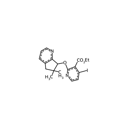 CCOC(=O)c1c(I)ccnc1OC1c2ncccc2CC1(C)C